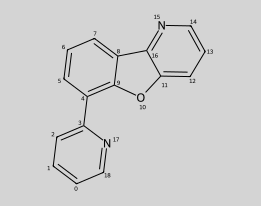 c1ccc(-c2cccc3c2oc2cccnc23)nc1